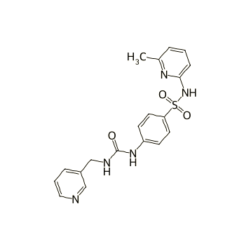 Cc1cccc(NS(=O)(=O)c2ccc(NC(=O)NCc3cccnc3)cc2)n1